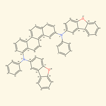 c1ccc(N(c2ccc3ccc4c5cccc(N(c6ccccc6)c6ccc7oc8ccccc8c7c6)c5ccc4c3c2)c2ccc3oc4ccccc4c3c2)cc1